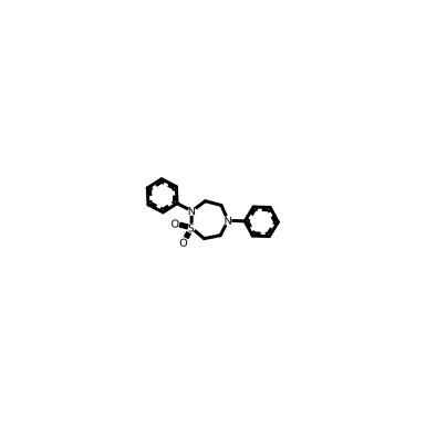 O=S1(=O)CCN(c2ccccc2)CCN1c1ccccc1